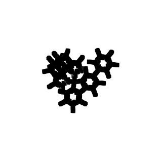 Cc1c(C)c(C)c(-c2c(C)c(C)c3c(c2C)C(n2nc(C)c4c(C)c(C)c(C)c(C)c42)(n2nc(C)c4c(C)c(C)c(C)c(C)c42)c2c(C)c(C)c(C)c(C)c2-3)c(C)c1C